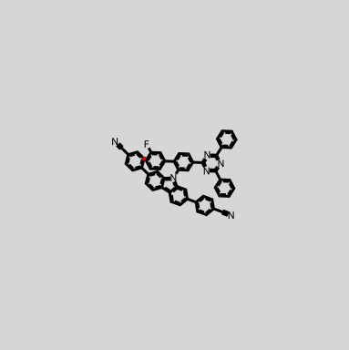 N#Cc1ccc(-c2ccc3c4ccc(-c5ccc(C#N)cc5)cc4n(-c4cc(-c5nc(-c6ccccc6)nc(-c6ccccc6)n5)ccc4-c4cccc(F)c4)c3c2)cc1